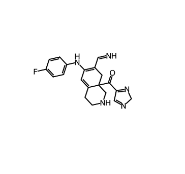 N=CC1=C(Nc2ccc(F)cc2)C=C2CCNCC2(C(=O)C2=NCN=C2)C1